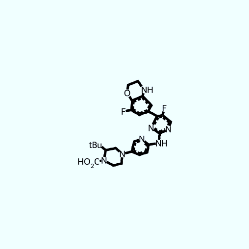 CC(C)(C)C1CN(c2ccc(Nc3ncc(F)c(-c4cc(F)c5c(c4)NCCO5)n3)nc2)CCN1C(=O)O